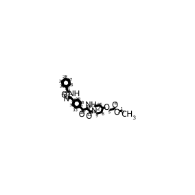 CCOC(=O)COC1CCN(C(=O)C(N)C(=O)c2ccc(C3=NOC(c4ccccc4)N3)cc2)CC1